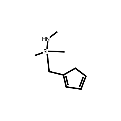 CN[Si](C)(C)CC1=CC=CC1